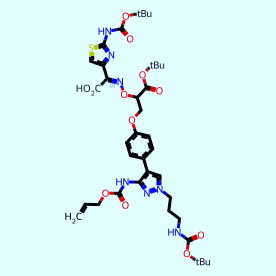 C=CCOC(=O)Nc1nn(CCCNC(=O)OC(C)(C)C)cc1-c1ccc(OCC(O/N=C(\C(=O)O)c2csc(NC(=O)OC(C)(C)C)n2)C(=O)OC(C)(C)C)cc1